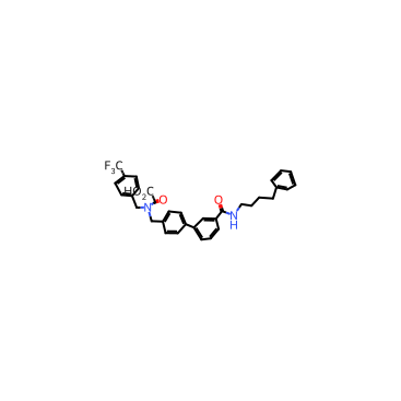 O=C(O)C(=O)N(Cc1ccc(-c2cccc(C(=O)NCCCCc3ccccc3)c2)cc1)Cc1ccc(C(F)(F)F)cc1